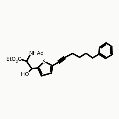 CCOC(=O)C(NC(C)=O)C(O)c1ccc(C#CCCCCc2ccccc2)s1